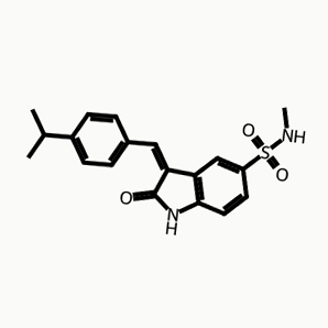 CNS(=O)(=O)c1ccc2c(c1)C(=Cc1ccc(C(C)C)cc1)C(=O)N2